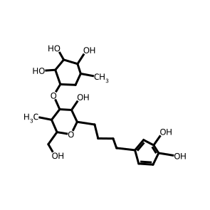 CC1CC(OC2C(C)C(CO)OC(CCCCc3ccc(O)c(O)c3)C2O)C(O)C(O)C1O